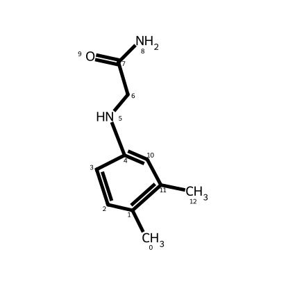 Cc1ccc(NCC(N)=O)cc1C